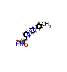 Cc1ccc(N2CCN(c3cccc(/C=C4\SC(=O)NC4=O)n3)CC2)cc1